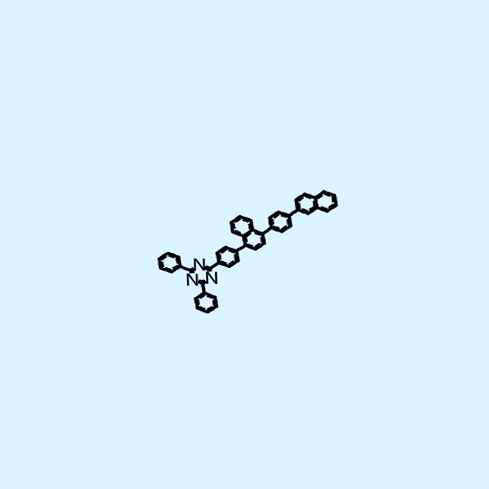 c1ccc(-c2nc(-c3ccccc3)nc(-c3ccc(-c4ccc(-c5ccc(-c6ccc7ccccc7c6)cc5)c5ccccc45)cc3)n2)cc1